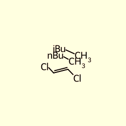 CCC(C)C.CCCCC.ClC=CCl